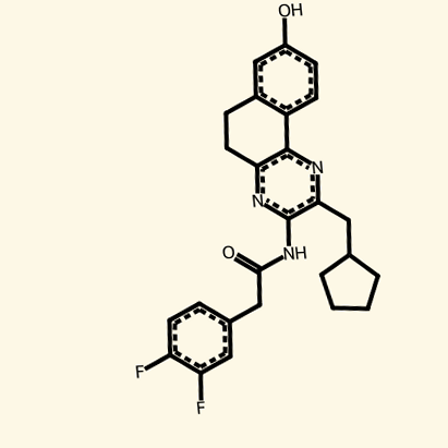 O=C(Cc1ccc(F)c(F)c1)Nc1nc2c(nc1CC1CCCC1)-c1ccc(O)cc1CC2